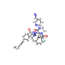 CC#Cc1ccc2c(=O)[nH]nc(Cc3ccc(F)c(C(=O)N4CCN(c5ccc(C#N)cn5)C(=O)C4(C)C)c3)c2c1